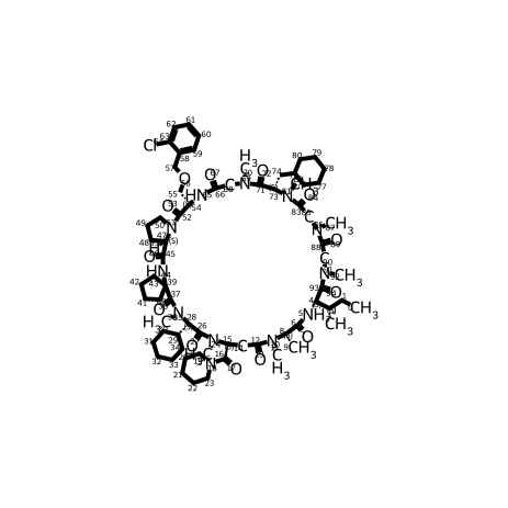 CC[C@H](C)[C@@H]1NC(=O)[C@H](C)N(C)C(=O)C[C@@H](C(=O)N2CCCCC2)N(C)C(=O)[C@H](C2CCCCC2)N(C)C(=O)C2(CCCC2)NC(=O)[C@@H]2CCCN2C(=O)[C@H](COCc2ccccc2Cl)NC(=O)CN(C)C(=O)[C@H](CC2CCCCC2)N(C)C(=O)CN(C)C(=O)CN(C)C1=O